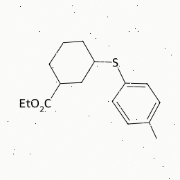 CCOC(=O)C1CCCC(Sc2ccc(C)cc2)C1